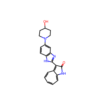 O=c1[nH]c2cccccc-2c1-c1nc2cc(N3CCC(O)CC3)ccc2[nH]1